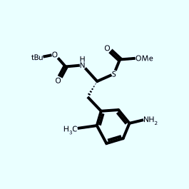 COC(=O)S[C@H](Cc1cc(N)ccc1C)NC(=O)OC(C)(C)C